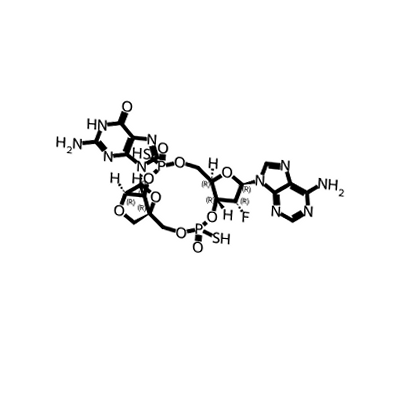 Nc1nc2c(ncn2[C@@H]2O[C@@]34CO[C@@H]2[C@@H]3OP(=O)(S)OC[C@H]2O[C@@H](n3cnc5c(N)ncnc53)[C@H](F)[C@@H]2OP(=O)(S)OC4)c(=O)[nH]1